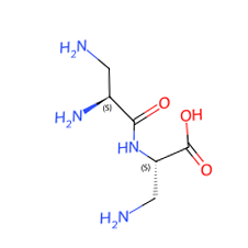 NC[C@H](NC(=O)[C@@H](N)CN)C(=O)O